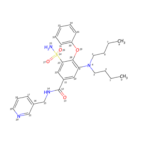 CCCCN(CCCC)c1cc(C(=O)NCc2cccnc2)cc(S(N)(=O)=O)c1Oc1ccccc1